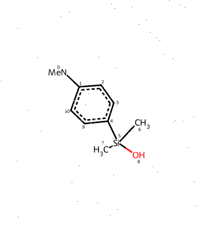 CNc1ccc([Si](C)(C)O)cc1